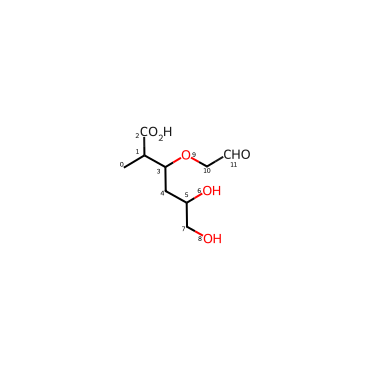 CC(C(=O)O)C(CC(O)CO)OCC=O